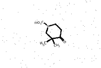 CC1(C)CN(C(=O)O)CCC1=O